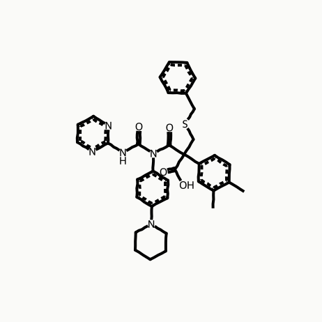 Cc1ccc(C(CSCc2ccccc2)(C(=O)O)C(=O)N(C(=O)Nc2ncccn2)c2ccc(N3CCCCC3)cc2)cc1C